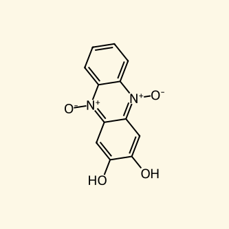 [O-][n+]1c2ccccc2[n+]([O-])c2cc(O)c(O)cc21